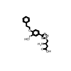 Cl.NC(CC(=O)O)Cn1nnc(-c2ccc(OCCc3ccccc3)c(F)c2)n1